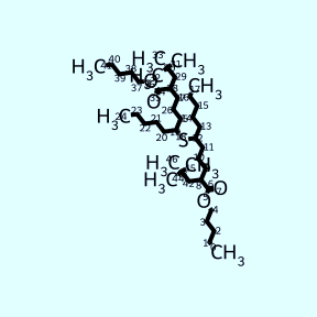 CCCCCOC(=O)C(CCCC(CCCCC)SC(CCCCC)CCCC(CC(C)(C)C)C(=O)OCCCCC)CC(C)(C)C